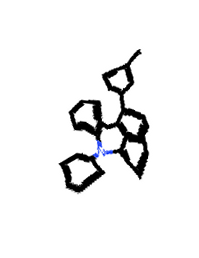 Cc1cccc(-c2ccccc2-c2ccccc2N(c2ccccc2)c2ccccc2)c1